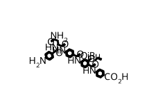 C=CCOc1c(C(=O)Nc2ccc(C(=O)O)cc2)ccc(NC(=O)c2ccc(NC(=O)C(CC(N)=O)NC(=O)c3ccc(N)cc3)cc2)c1OCC(C)C